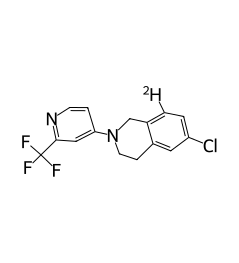 [2H]c1cc(Cl)cc2c1CN(c1ccnc(C(F)(F)F)c1)CC2